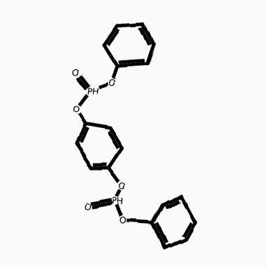 O=[PH](Oc1ccccc1)Oc1ccc(O[PH](=O)Oc2ccccc2)cc1